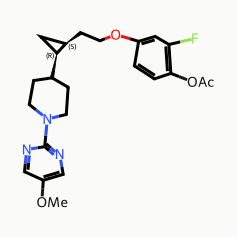 COc1cnc(N2CCC([C@H]3C[C@H]3CCOc3ccc(OC(C)=O)c(F)c3)CC2)nc1